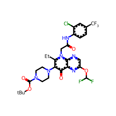 CCc1c(N2CCN(C(=O)OC(C)(C)C)CC2)c(=O)c2nc(OC(F)F)cnc2n1CC(=O)Nc1ccc(C(F)(F)F)cc1Cl